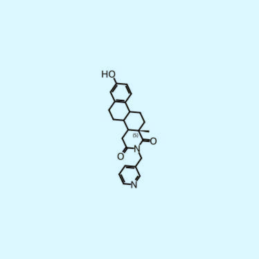 C[C@]12CCC3c4ccc(O)cc4CCC3C1CC(=O)N(Cc1cccnc1)C2=O